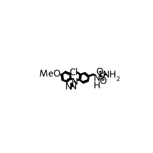 COc1ccc2c(c1)nnn2-c1ccc(CNS(N)(=O)=O)cc1Cl